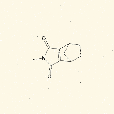 CN1C(=O)C2=C(C1=O)C1CCC2C1